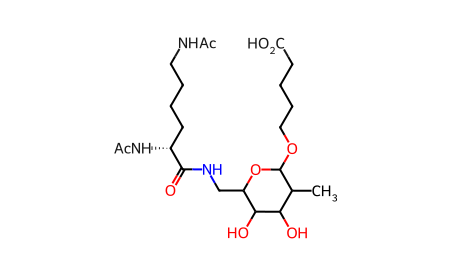 CC(=O)NCCCC[C@@H](NC(C)=O)C(=O)NCC1OC(OCCCCC(=O)O)C(C)C(O)C1O